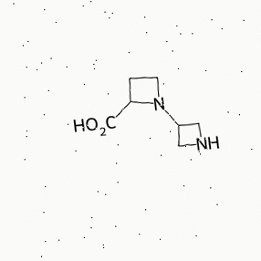 O=C(O)C1CCN1C1CNC1